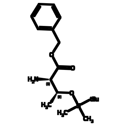 C[C@@H](O[Si](C)(C)C(C)(C)C)[C@H](N)C(=O)OCc1ccccc1